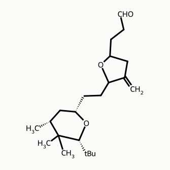 C=C1CC(CCC=O)OC1CC[C@H]1C[C@@H](C)C(C)(C)[C@@H](C(C)(C)C)O1